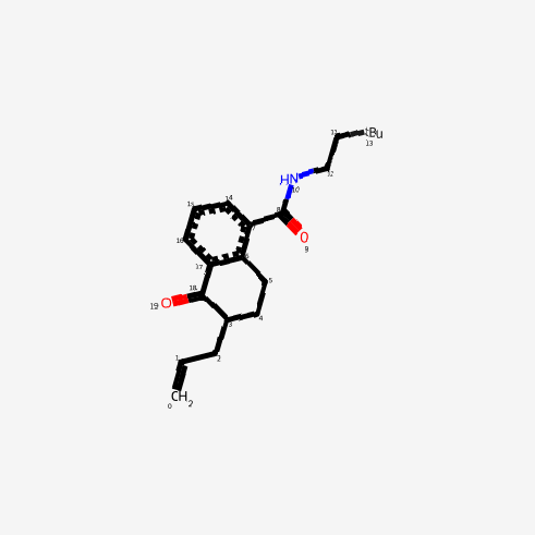 C=CCC1CCc2c(C(=O)NCCC(C)(C)C)cccc2C1=O